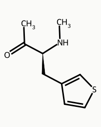 CN[C@@H](Cc1ccsc1)C(C)=O